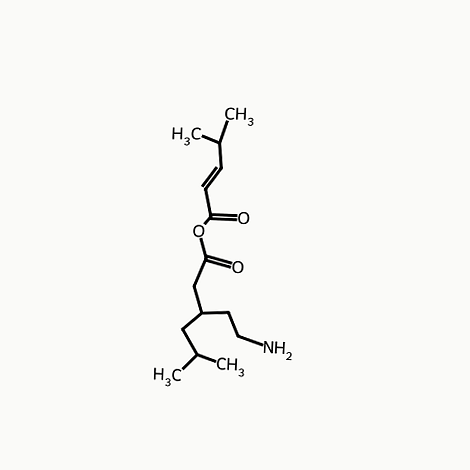 CC(C)C=CC(=O)OC(=O)CC(CCN)CC(C)C